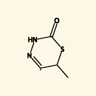 CC1[C]=NNC(=O)S1